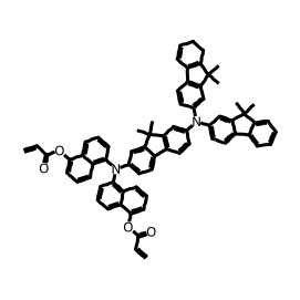 C=CC(=O)Oc1cccc2c(N(c3ccc4c(c3)C(C)(C)c3cc(N(c5ccc6c(c5)C(C)(C)C5=C6C=CCC5)c5ccc6c(c5)C(C)(C)c5ccccc5-6)ccc3-4)c3cccc4c(OC(=O)C=C)cccc34)cccc12